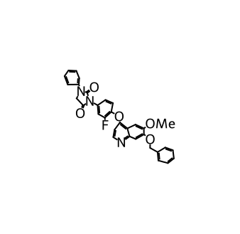 COc1cc2c(Oc3ccc(N4C(=O)CN(c5ccccc5)C4=O)cc3F)ccnc2cc1OCc1ccccc1